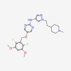 COc1cc(OC)c(F)c(COc2cnc(Nc3cnn(CCC4CCN(C)CC4)c3)nc2)c1F